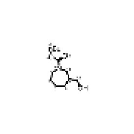 CCCCOC(=O)N1CCCCC(CO)C1